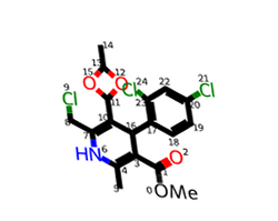 COC(=O)C1=C(C)NC(CCl)=C(C2OC(C)O2)C1c1ccc(Cl)cc1Cl